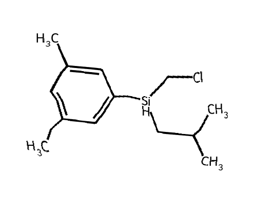 Cc1cc(C)cc([SiH](CCl)CC(C)C)c1